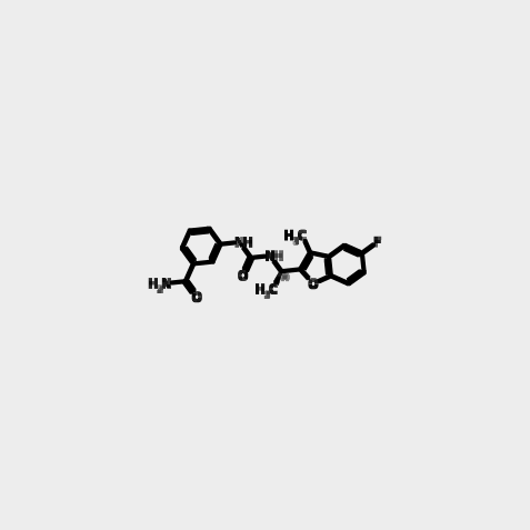 Cc1c([C@@H](C)NC(=O)Nc2cccc(C(N)=O)c2)oc2ccc(F)cc12